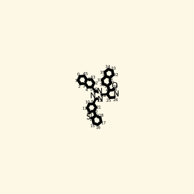 c1ccc2cc(-c3nc(-c4ccc5sc6ccccc6c5c4)nc(-c4ccnc5oc6c7ccccc7ccc6c45)n3)ccc2c1